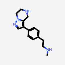 CNCCc1ccc(-c2cnn3c2CNCC3)cc1